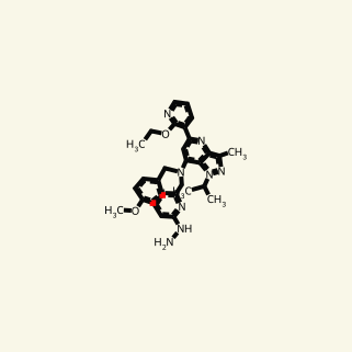 CCOc1ncccc1-c1cc(N(Cc2ccc(OC)cc2)Cc2nccc(NN)n2)c2c(n1)c(C)nn2C(C)C